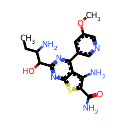 CCC(N)C(O)c1nc(-c2cncc(OC)c2)c2c(N)c(C(N)=O)sc2n1